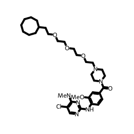 CNc1nc(Nc2ccc(C(=O)N3CCN(CCOCCOCCOCCC4CCCCCCC4)CC3)cc2OC)ncc1Cl